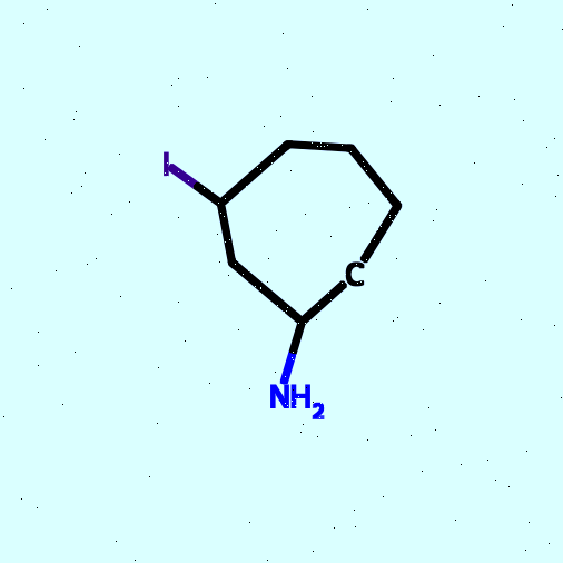 NC1CCCCC(I)C1